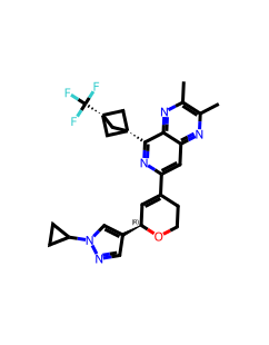 Cc1nc2cc(C3=C[C@H](c4cnn(C5CC5)c4)OCC3)nc([C@]34C[C@](C(F)(F)F)(C3)C4)c2nc1C